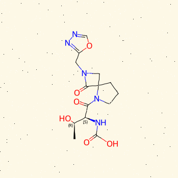 C[C@@H](O)[C@H](NC(=O)O)C(=O)N1CCCC12CN(Cc1nnco1)C2=O